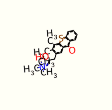 Cc1c(CC(O)C[N+](C)(C)C)cc2c(=O)c3ccccc3sc2c1C